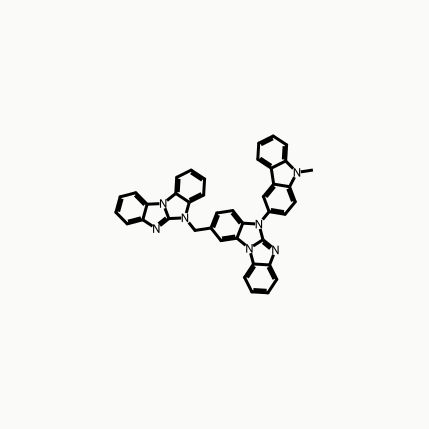 Cn1c2ccccc2c2cc(-n3c4ccc(Cn5c6ccccc6n6c7ccccc7nc56)cc4n4c5ccccc5nc34)ccc21